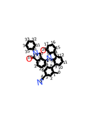 Cc1cc(C#N)ccc1-c1cccc2c3ccccc3n(-c3cccc4c3C(=O)N(c3ccccc3)C4=O)c12